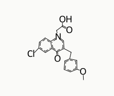 COc1cccc(Cc2cn(CC(=O)O)c3ccc(Cl)cc3c2=O)c1